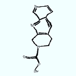 CC(C)(C)OC(=O)N1CCc2cc3ccncc3nc2C1